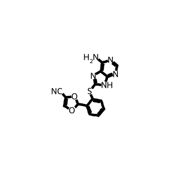 N#CC1=COC(c2ccccc2Sc2nc3c(N)ncnc3[nH]2)O1